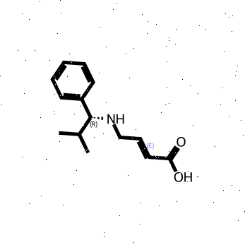 CC(C)[C@@H](NC/C=C/C(=O)O)c1ccccc1